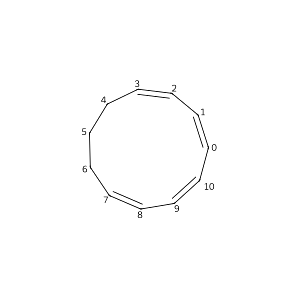 C1=CC=CCCCC=CC=C1